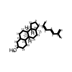 C=C(C)C=CC=C(C)[C@H]1CC[C@H]2[C@@H]3CCC4CC(O)CC[C@]4(C)[C@H]3CC[C@]12C